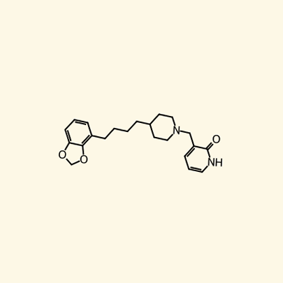 O=c1[nH]cccc1CN1CCC(CCCCc2cccc3c2OCO3)CC1